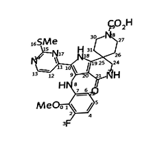 COc1c(F)cccc1Nc1c(-c2ccnc(SC)n2)[nH]c2c1C(=O)NCC21CCN(C(=O)O)CC1